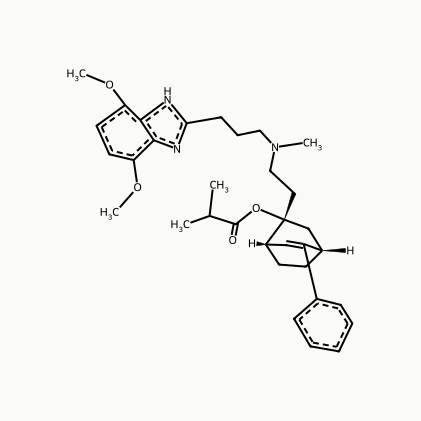 COc1ccc(OC)c2[nH]c(CCCN(C)CC[C@@]3(OC(=O)C(C)C)C[C@@H]4CC[C@H]3C=C4c3ccccc3)nc12